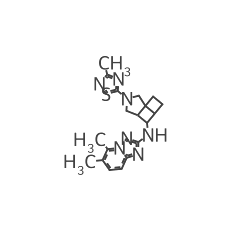 Cc1nsc(N2CC3C(Nc4nc5ccc(C)c(C)n5n4)C4CCC43C2)n1